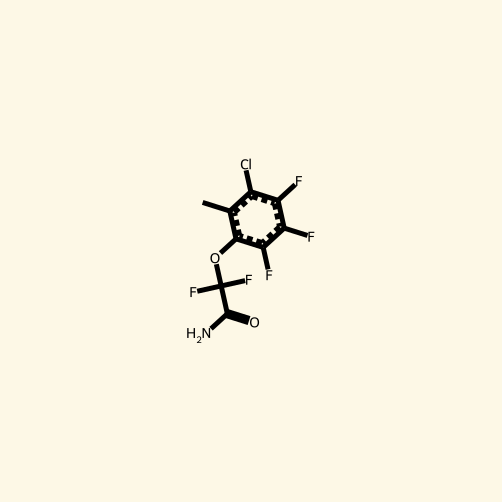 Cc1c(Cl)c(F)c(F)c(F)c1OC(F)(F)C(N)=O